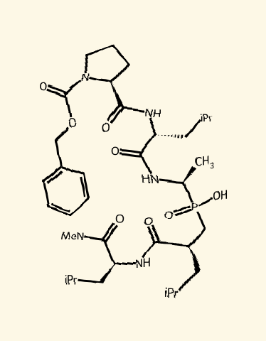 CNC(=O)[C@H](CC(C)C)NC(=O)[C@H](CC(C)C)CP(=O)(O)[C@H](C)NC(=O)[C@@H](CC(C)C)NC(=O)[C@@H]1CCCN1C(=O)OCc1ccccc1